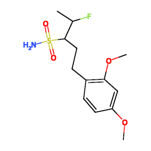 COc1ccc(CCC(C(C)F)S(N)(=O)=O)c(OC)c1